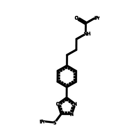 CC(C)Sc1nnc(-c2ccc(CCCNC(=O)C(C)C)cc2)o1